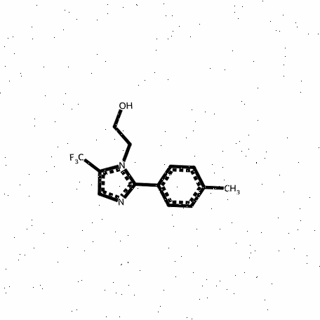 Cc1ccc(-c2ncc(C(F)(F)F)n2CCO)cc1